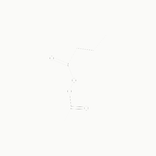 CCCC(=O)OOC(C)=O